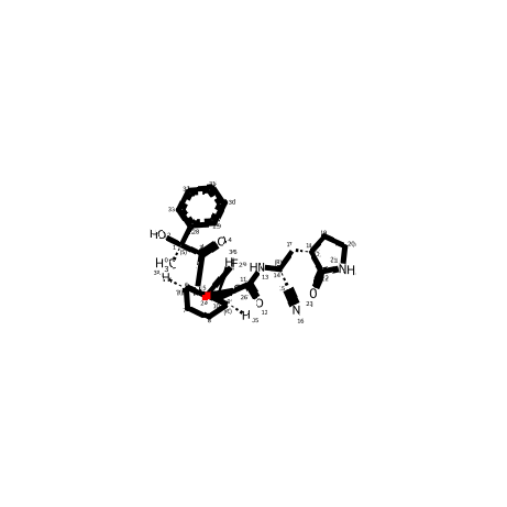 C[C@@](O)(C(=O)N1[C@@H]2CC[C@H]([C@H]1C(=O)N[C@@H](C#N)C[C@@H]1CCNC1=O)C(F)(F)C2)c1ccccc1